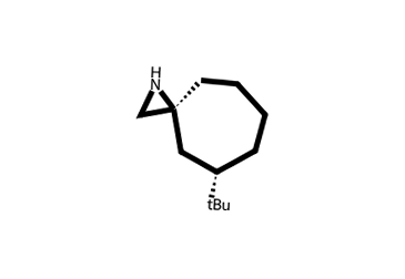 CC(C)(C)[C@H]1CCCC[C@@]2(CN2)C1